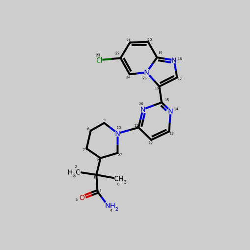 CC(C)(C(N)=O)C1CCCN(c2ccnc(-c3cnc4ccc(Cl)cn34)n2)C1